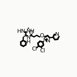 CNC(=N)[C@H](Cc1ccccc1)NC(=O)CCCOc1cc(-c2cccnc2)nn1-c1ccc(Cl)c(Cl)c1